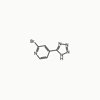 Brc1cc(-c2nnn[nH]2)ccn1